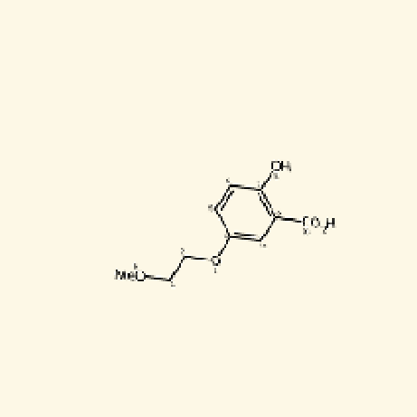 COCCOc1ccc(O)c(C(=O)O)c1